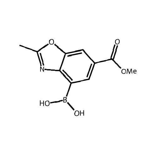 COC(=O)c1cc(B(O)O)c2nc(C)oc2c1